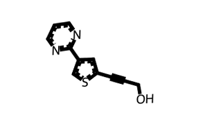 OCC#Cc1cc(-c2ncccn2)cs1